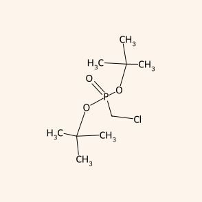 CC(C)(C)OP(=O)(CCl)OC(C)(C)C